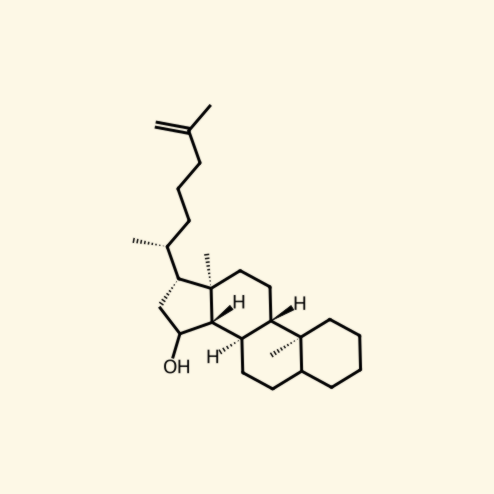 C=C(C)CCC[C@@H](C)[C@H]1CC(O)[C@H]2[C@@H]3CCC4CCCC[C@]4(C)[C@H]3CC[C@]12C